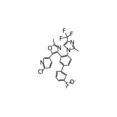 Cc1nc(-c2cc(-c3cccc([S+](C)[O-])c3)ccc2-n2cc(C(F)(F)F)nc2C)c(-c2ccc(Cl)nc2)o1